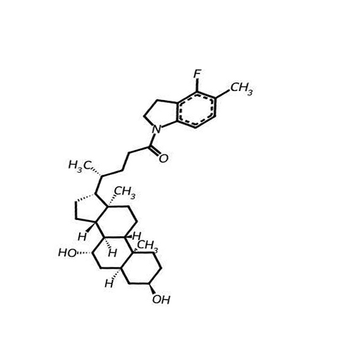 Cc1ccc2c(c1F)CCN2C(=O)CC[C@@H](C)[C@H]1CC[C@H]2[C@@H]3[C@@H](O)C[C@@H]4C[C@H](O)CC[C@]4(C)[C@H]3CC[C@]12C